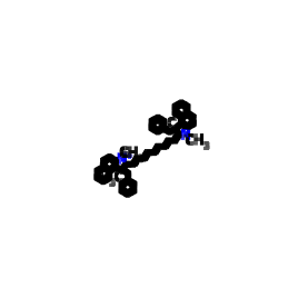 CN1/C(=C/C=C/C=C/C=C/C=C/C2=[N+](C)c3ccc4ccccc4c3C2(C)Cc2ccccc2)C(C)(Cc2ccccc2)c2c1ccc1ccccc21